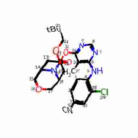 [C-]#[N+]c1ccc(Nc2ncnc(OC3CC4COCC(C3)N4C(=O)OCC(C)(C)C)c2C)c(Cl)c1